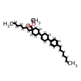 CCCCCCCc1ccc(C2CCC(C3CCC(CCCCCCC)(C(=O)OC)CC3)CC2)cc1